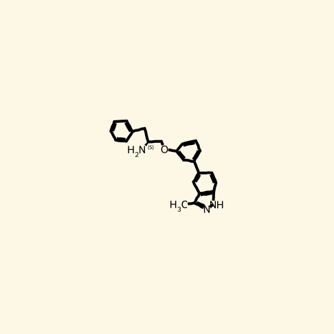 Cc1n[nH]c2ccc(-c3cccc(OC[C@@H](N)Cc4ccccc4)c3)cc12